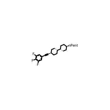 CCCCC[C@H]1CC[C@H]([C@H]2CC[C@H](C#Cc3cc(F)c(F)c(F)c3)CC2)CC1